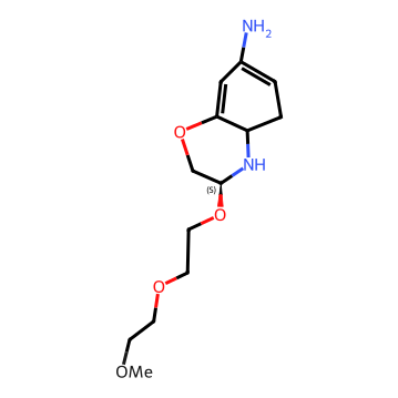 COCCOCCO[C@H]1COC2=CC(N)=CCC2N1